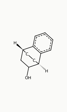 OC1C[C@H]2CC[C@H]1c1ccccc12